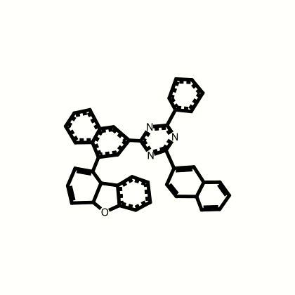 C1=CC2C=CC(c3nc(-c4ccccc4)nc(-c4cc(C5=CC=CC6Oc7ccccc7C56)c5ccccc5c4)n3)=CC2C=C1